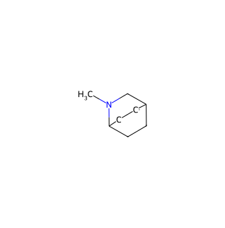 CN1CC2[CH]CC1CC2